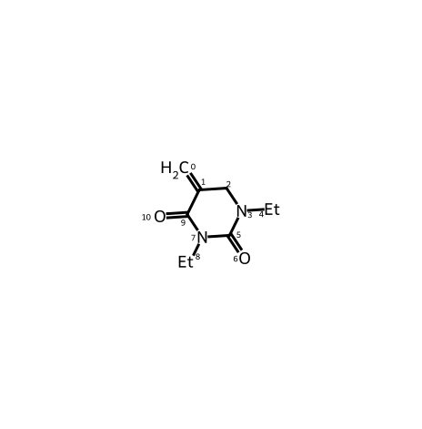 C=C1CN(CC)C(=O)N(CC)C1=O